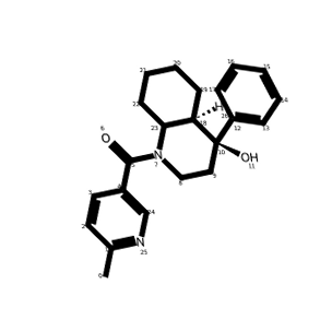 Cc1ccc(C(=O)N2CC[C@@](O)(c3ccccc3)[C@@H]3CCCCC32)cn1